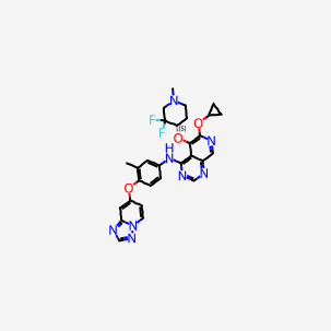 Cc1cc(Nc2ncnc3cnc(OC4CC4)c(O[C@H]4CCN(C)CC4(F)F)c23)ccc1Oc1ccn2ncnc2c1